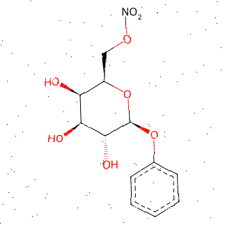 O=[N+]([O-])OC[C@H]1O[C@@H](Oc2ccccc2)[C@H](O)[C@@H](O)[C@H]1O